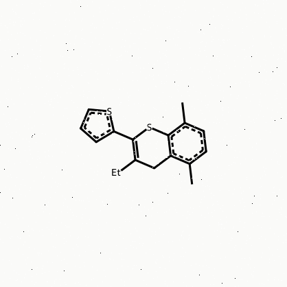 CCC1=C(c2cccs2)Sc2c(C)ccc(C)c2C1